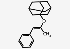 CC(=Cc1ccccc1)OC12CC3CC(CC(C3)C1)C2